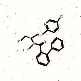 CC(C)C[C@@H](CNc1ccc(Cl)cn1)N(C)C(=O)c1ccccc1-c1ccccc1